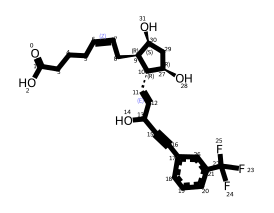 O=C(O)CCC/C=C\C[C@@H]1[C@@H](/C=C/C(O)C#Cc2cccc(C(F)(F)F)c2)[C@H](O)C[C@@H]1O